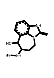 C=C1Nc2cccc3c2N1CCC(NC(C)C)C3O